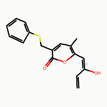 C=C/C(O)=C\c1oc(=O)c(CSc2ccccc2)cc1C